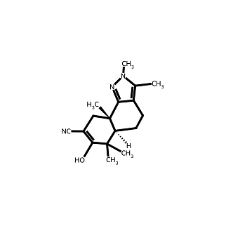 Cc1c2c(nn1C)[C@@]1(C)CC(C#N)=C(O)C(C)(C)[C@@H]1CC2